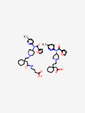 Cc1ccc(N(C(=O)c2ccco2)C2CCN(CCC3(CC(=O)NCCCC(=O)O)CCCCC3)CC2)nc1.Cc1ccc(N(C(=O)c2ccco2)C2CCN(CCC3(CC(=O)O)CCCCC3)CC2)nc1